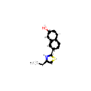 CCOC(=O)Cc1csc(-c2ccc3ccc(O)cc3c2)n1